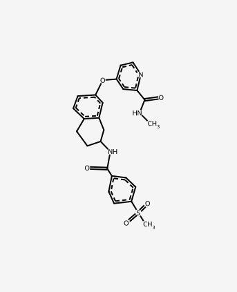 CNC(=O)c1cc(Oc2ccc3c(c2)CC(NC(=O)c2ccc(S(C)(=O)=O)cc2)CC3)ccn1